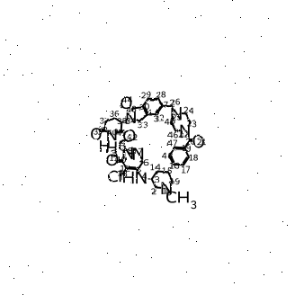 CN1C[C@H](Nc2cnn(C)c(=O)c2Cl)C[C@H](c2ccc(C(=O)N3CCN(Cc4ccc5c(c4)CN(C4CCC(=O)NC4=O)C5=O)CC3)cc2)C1